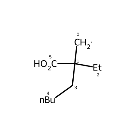 [CH2]C(CC)(CCCCC)C(=O)O